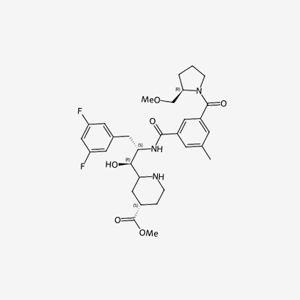 COC[C@H]1CCCN1C(=O)c1cc(C)cc(C(=O)N[C@@H](Cc2cc(F)cc(F)c2)[C@H](O)C2C[C@@H](C(=O)OC)CCN2)c1